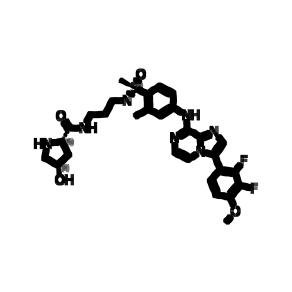 COc1ccc(-c2cnc3c(Nc4ccc([S@@](C)(=O)=NCCCNC(=O)[C@@H]5C[C@@H](O)CN5)c(C)c4)nccn23)c(F)c1F